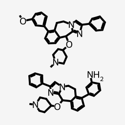 CN1CCC(OC2c3cccc(-c4cccc(N)c4)c3CCn3cc(-c4ccccc4)nc32)CC1.COc1cccc(-c2cccc3c2CCn2cc(-c4ccccc4)nc2C3OC2CCN(C)CC2)c1